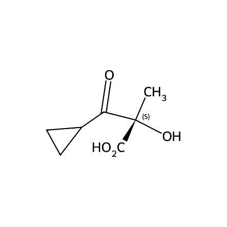 C[C@@](O)(C(=O)O)C(=O)C1CC1